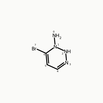 NN1NN=CC=C1Br